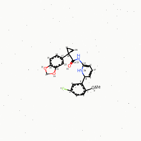 COc1ccc(F)cc1C1C=CC=C(NC(=O)C2(c3ccc4c(c3)OCO4)CC2)N1